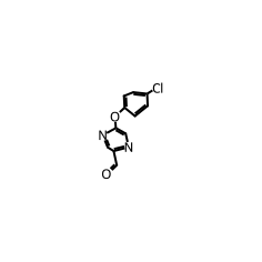 O=Cc1cnc(Oc2ccc(Cl)cc2)cn1